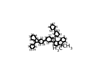 CC1(C)c2ccccc2-c2c1ccc1c3cc(-c4ccc5c(c4)-c4ccccc4C5c4ccccc4)ccc3n(-c3cccc(-c4ccccc4)c3)c21